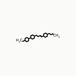 C=CCCC1CCC(/C=C/CCC2CCC(C3CCC(CC)CC3)CC2)CC1